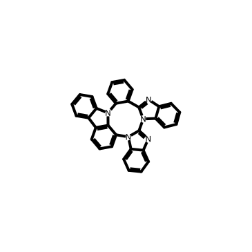 c1ccc2c(c1)nc1n2c2cccc3c4ccccc4n(c4ccccc4c4nc5ccccc5n41)c32